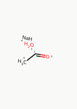 CC=O.O.[NaH]